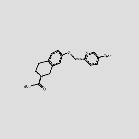 COc1ccc(COc2ccc3c(c2)CN(C(=O)OCC(C)C)CC3)nc1